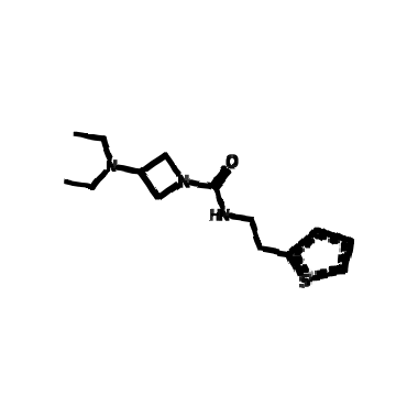 CCN(CC)C1CN(C(=O)NCCc2cccs2)C1